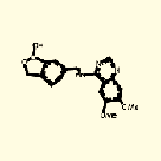 COc1cc2ncnc(NCc3ccc4c(c3)B(O)OC4)c2cc1OC